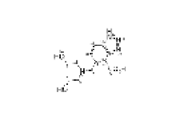 O=C(O)c1c(CN(CCO)CCO)ccc2[nH]nnc12